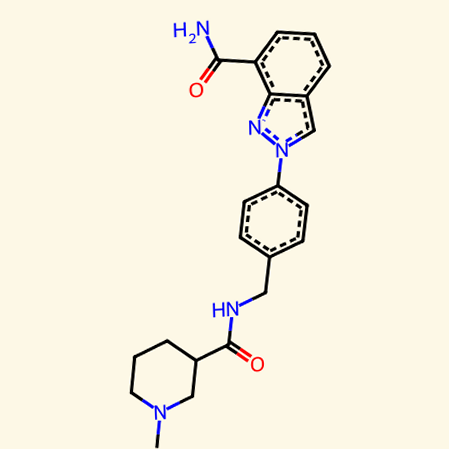 CN1CCCC(C(=O)NCc2ccc(-n3cc4cccc(C(N)=O)c4n3)cc2)C1